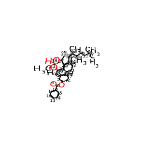 COC1CC2C[C@@H](OC(=O)c3ccccc3)CC[C@]2(C)[C@H]2CC[C@@]3(C)C(=C12)[C@@H](O)C[C@@H]3[C@H](C)CCCC(C)C